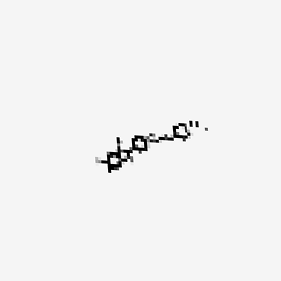 CN1CCC(CCCOc2ccc(-c3nc4cc(Cl)c(F)cc4[nH]3)cc2)CC1